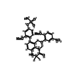 CCCS(=O)(=O)Oc1ccc(-c2ccc3c(c2COc2cc([N+](=O)[O-])ccc2OC)N(C)C(=O)C(C)(C)N3)c(OC)c1